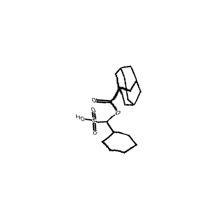 O=C(OC(C1CCCCC1)S(=O)(=O)O)C12CC3CC(CC(C3)C1)C2